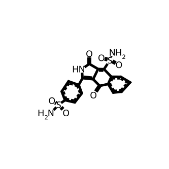 NS(=O)(=O)C1=C2C(=O)NC(c3ccc(S(N)(=O)=O)cc3)=C2C(=O)c2ccccc21